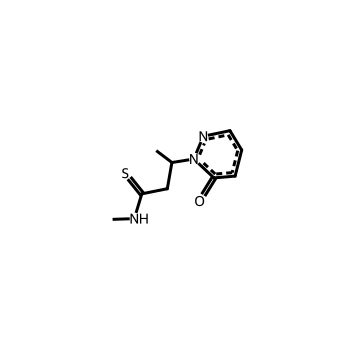 CNC(=S)CC(C)n1ncccc1=O